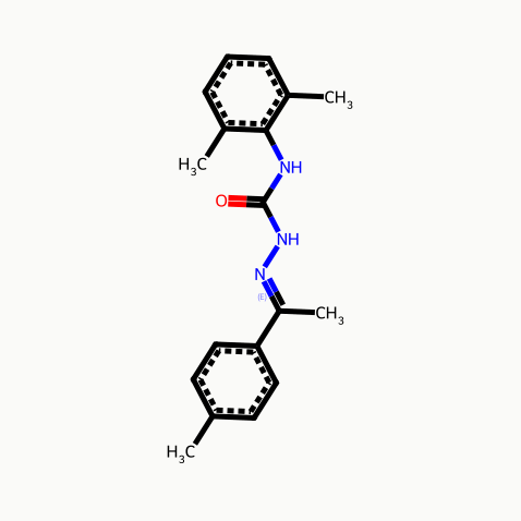 C/C(=N\NC(=O)Nc1c(C)cccc1C)c1ccc(C)cc1